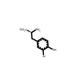 CCOC(=O)[C@@H](N)Cc1ccc(O)c(C(C)=O)c1